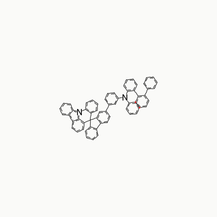 c1ccc(-c2ccccc2-c2ccccc2N(c2ccccc2)c2cccc(-c3ccc4c(c3)C3(c5ccccc5-4)c4ccccc4-n4c5ccccc5c5cccc3c54)c2)cc1